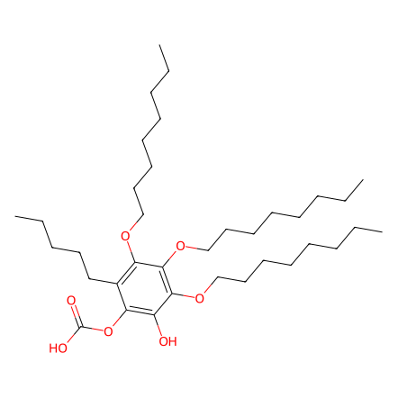 CCCCCCCCOc1c(O)c(OC(=O)O)c(CCCCC)c(OCCCCCCCC)c1OCCCCCCCC